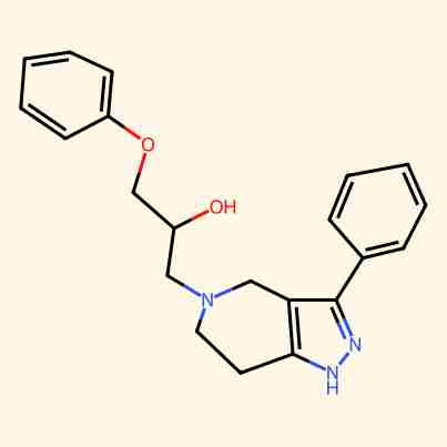 OC(COc1ccccc1)CN1CCc2[nH]nc(-c3ccccc3)c2C1